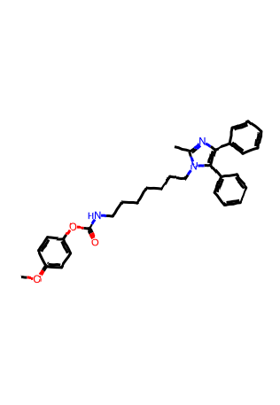 COc1ccc(OC(=O)NCCCCCCCn2c(C)nc(-c3ccccc3)c2-c2ccccc2)cc1